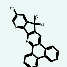 CCC1(CC)c2cc(Br)cnc2-c2nc3c4ccccc4c4ccccc4c3cc21